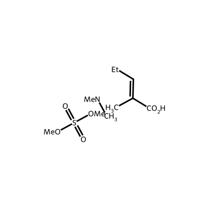 CCC=C(C)C(=O)O.CNC.COS(=O)(=O)OC